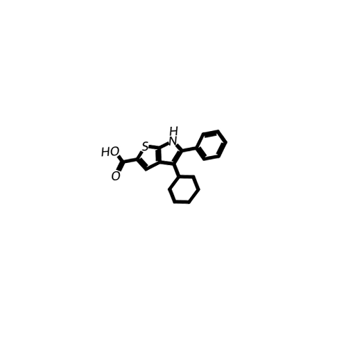 O=C(O)c1cc2c(C3CCCCC3)c(-c3ccccc3)[nH]c2s1